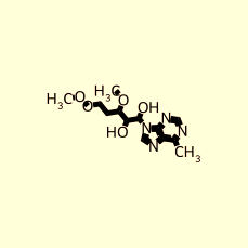 COOCCC(OC)C(O)C(O)n1cnc2c(C)ncnc21